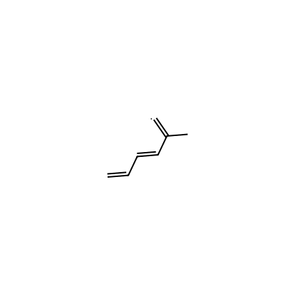 [CH]=C(C)/C=C/C=C